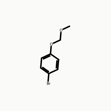 COCOc1[c]cc(Br)cc1